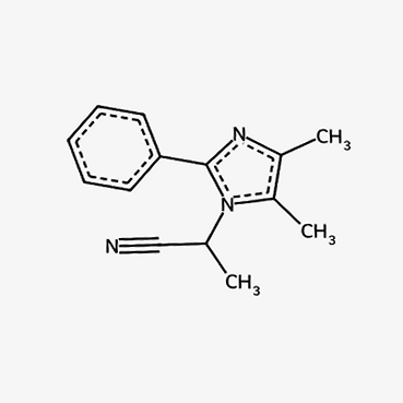 Cc1nc(-c2ccccc2)n(C(C)C#N)c1C